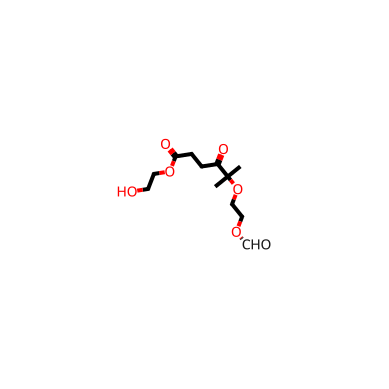 CC(C)(OCCOC=O)C(=O)CCC(=O)OCCO